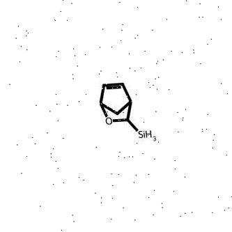 [SiH3]C1OC2C=CC1C2